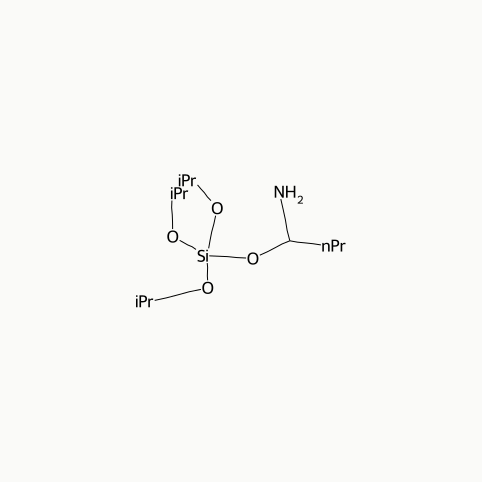 CCCC(N)O[Si](OC(C)C)(OC(C)C)OC(C)C